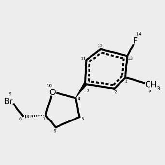 Cc1cc([C@H]2CC[C@H](CBr)O2)ccc1F